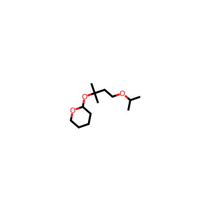 CC(C)OCCC(C)(C)OC1CCCCO1